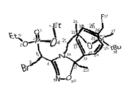 CCOP(=O)(OCC)C(Br)C1=NOC(C)(c2ccc(F)cc2)N1CC(C)O[Si](C)(C)C(C)(C)C